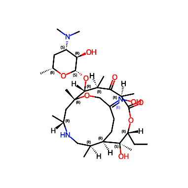 CC[C@H]1OC(=O)[C@H](C)C(=O)[C@H](C)[C@@H](O[C@@H]2O[C@H](C)C[C@H](N(C)C)[C@H]2O)[C@@]2(C)C[C@@H](C)NC[C@H](C)[C@@H](CC/C(=N\O)CO2)[C@]1(C)O